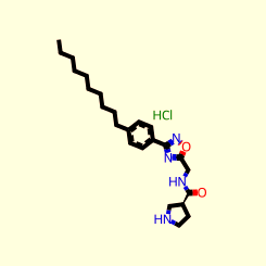 CCCCCCCCCCc1ccc(-c2noc(CNC(=O)[C@H]3CCNC3)n2)cc1.Cl